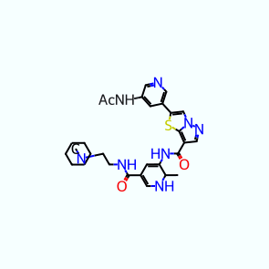 CC(=O)Nc1cncc(-c2cn3ncc(C(=O)NC4=CC(C(=O)NCCN5CC6CCC5CC6)=CNC4C)c3s2)c1